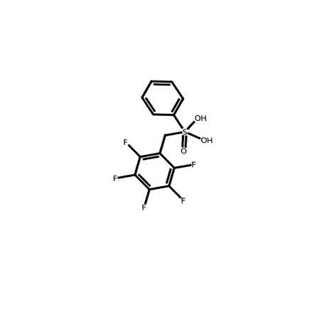 O=S(O)(O)(Cc1c(F)c(F)c(F)c(F)c1F)c1ccccc1